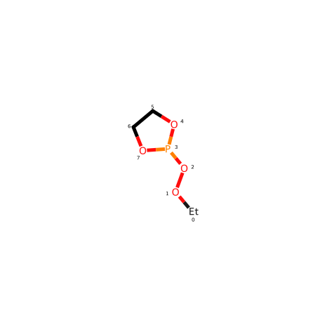 CCOOP1OCCO1